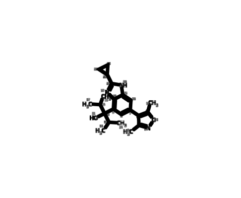 Cc1noc(C)c1-c1cc(C(O)(C(C)C)C(C)C)c2nc(C3CC3)[nH]c2c1